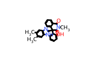 Cc1cc2nc(C3(c4ccccc4O)C(=O)N(C)C(=O)c4ccccc43)[nH]c2cc1C